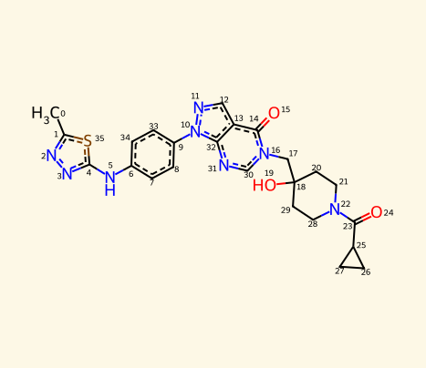 Cc1nnc(Nc2ccc(-n3ncc4c(=O)n(CC5(O)CCN(C(=O)C6CC6)CC5)cnc43)cc2)s1